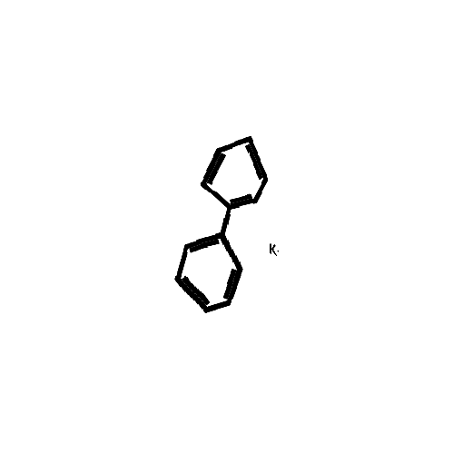 [K].c1ccc(-c2ccccc2)cc1